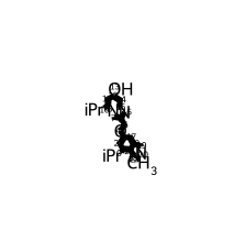 CC(C)c1cc(OCc2cn3c(C(C)C)cc(O)cc3n2)cc2cnn(C)c12